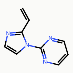 C=Cc1nccn1-c1ncccn1